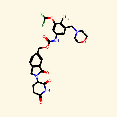 Cc1c(CN2CCOCC2)cc(NC(=O)OCc2ccc3c(c2)C(=O)N(C2CCC(=O)NC2=O)C3)cc1OC(F)F